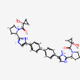 O=C(N1CCCC1c1ncc(-c2ccc(-c3ccc(-c4cnc(C5CCCN5C(=O)C5(O)CC5)[nH]4)cc3)cc2)[nH]1)C1(O)CC1